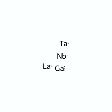 [Ga].[La].[Nb].[Ta]